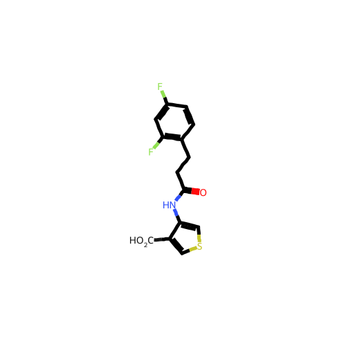 O=C(CCc1ccc(F)cc1F)Nc1cscc1C(=O)O